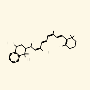 CC(C=CC1=C(C)CCCC1(C)C)=CC=CC(C)=CC(O)C1CC(O)c2ccccc2C1(C)C